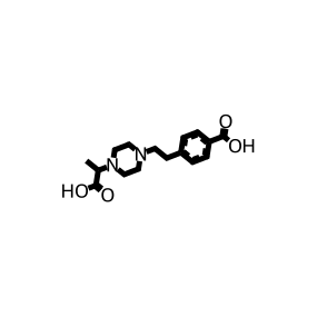 CC(C(=O)O)N1CCN(CCc2ccc(C(=O)O)cc2)CC1